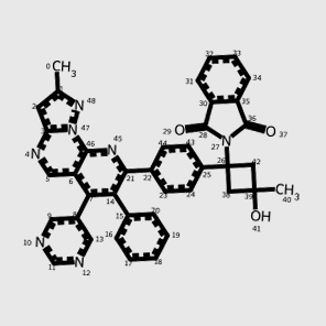 Cc1cc2ncc3c(-c4cncnc4)c(-c4ccccc4)c(-c4ccc(C5(N6C(=O)c7ccccc7C6=O)CC(C)(O)C5)cc4)nc3n2n1